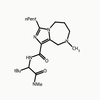 CCCCCc1nc(C(=O)NC(C(=O)NC)C(C)(C)C)c2n1CCCN(C)C2